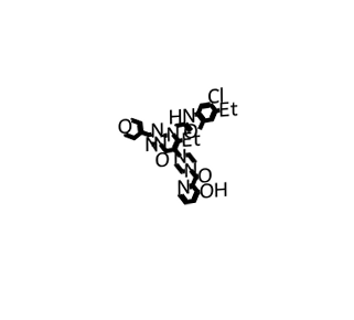 CCc1cc(C)c(NC(=O)Cn2c(CC)c(N3CCN(C(=O)c4ncccc4O)CC3)c(=O)n3nc(C4=CCOCC4)nc23)cc1Cl